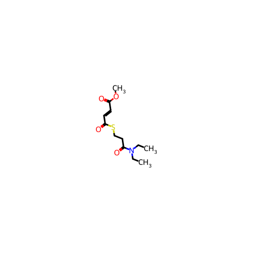 CCN(CC)C(=O)CCSC(=O)/C=C/C(=O)OC